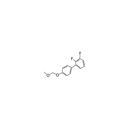 COCOc1ccc(-c2cccc(F)c2F)cc1